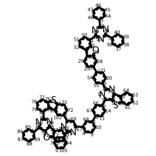 c1ccc(-c2nc(-c3cccc(-c4ccc(-c5nc(-c6ccc(-c7ccc8c(c7)oc7c(-c9nc(-c%10ccccc%10)nc(-c%10ccccc%10)n9)cccc78)cc6)nc6c5sc5ccccc56)cc4)c3)cc(-c3ccc4sc5cccc(-c6nc(-c7ccccc7)c7oc8ccccc8c7n6)c5c4c3)n2)cc1